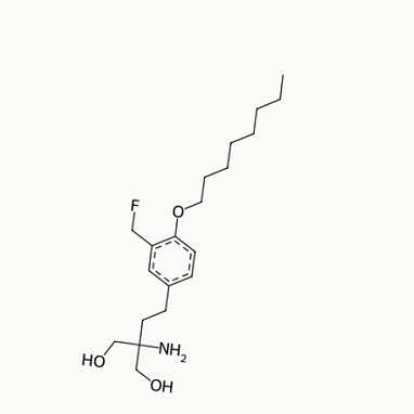 CCCCCCCCOc1ccc(CCC(N)(CO)CO)cc1CF